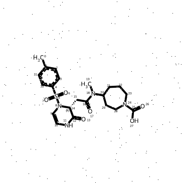 Cc1ccc(S(=O)(=O)N2C=CNC(=O)[C@H]2CC(=O)N(C)C2CCCN(C(=O)O)CC2)cc1